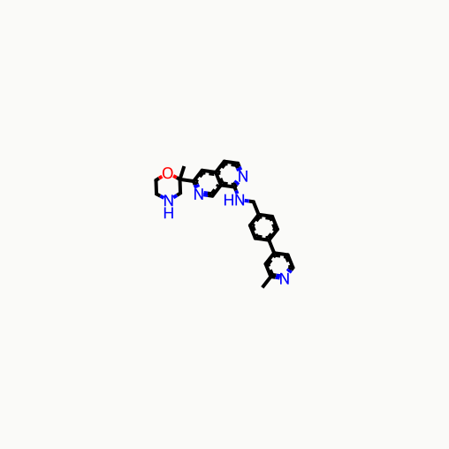 Cc1cc(-c2ccc(CNc3nccc4cc(C5(C)CNCCO5)ncc34)cc2)ccn1